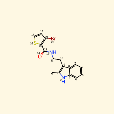 Cc1[nH]c2ccccc2c1CCNC(=O)c1sccc1Br